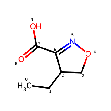 CCC1CON=C1C(=O)O